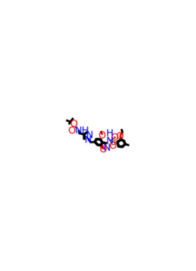 CCOc1cc(C)ccc1S(=O)(=O)Nc1noc2cc(Cn3cc(CNC(=O)OC(C)(C)C)cn3)cc(OC)c12